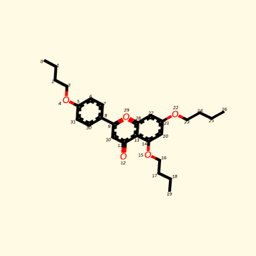 CCCCOc1ccc(-c2cc(=O)c3c(OCCCC)cc(OCCCC)cc3o2)cc1